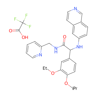 CCOc1cc(C(Nc2ccc3cnccc3c2)C(=O)NCc2ccccn2)ccc1OC(C)C.O=C(O)C(F)(F)F